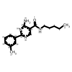 CCCCCNC(=O)c1cnc(-c2cccc(C)c2)nc1N